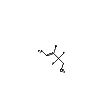 F/C(=C\C(F)(F)F)C(F)(F)CC(F)(F)F